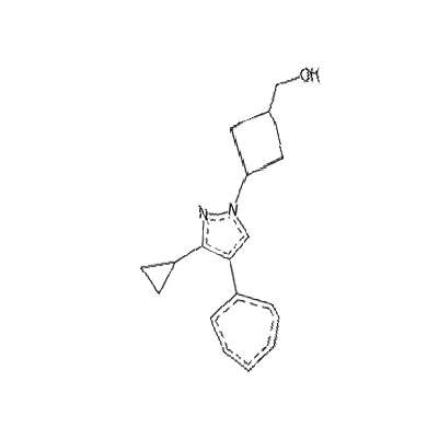 OCC1CC(n2cc(-c3ccccc3)c(C3CC3)n2)C1